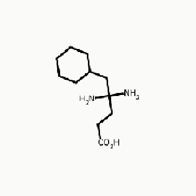 NC(N)(CCC(=O)O)CC1CCCCC1